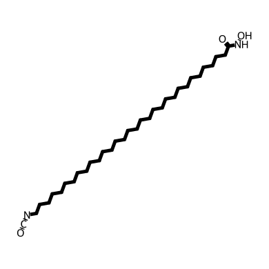 O=C=NCCCCCCCCCCCCCCCCCCCCCCCCCCCCCCCC(=O)NO